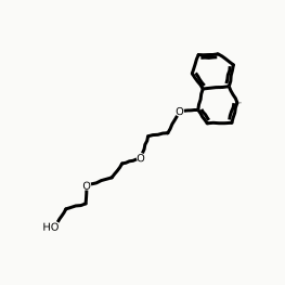 OCCOCCOCCOc1cc[c]c2ccccc12